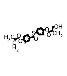 C=C(C)C(=O)Oc1ccc(C(=O)Sc2ccc(OC(=O)C(=C)CO)cc2)cc1F